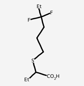 CCC(SCCCC(F)(F)CC)C(=O)O